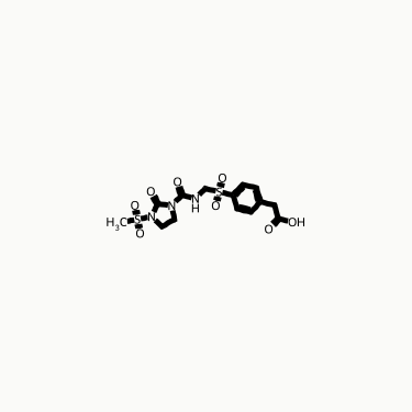 CS(=O)(=O)N1CCN(C(=O)NCS(=O)(=O)c2ccc(CC(=O)O)cc2)C1=O